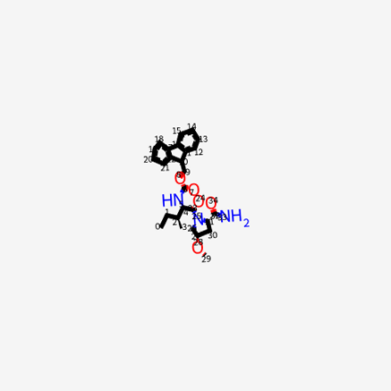 CC[C@H](C)[C@H](NC(=O)OCC1c2ccccc2-c2ccccc21)C(=O)N1C[C@H](OC)C[C@H]1C(N)=O